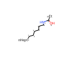 CCCCCCCCCCCCCNC(O)CC